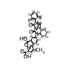 Cc1cc(C(=O)O)nn1-c1ccc(N(C(=O)n2nnn(-c3c(F)cccc3F)c2=O)C2CCCCC2)cc1C(=O)O